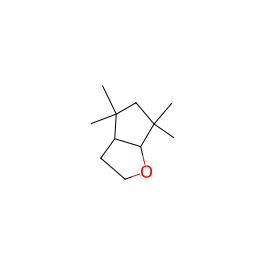 CC1(C)CC(C)(C)C2OCCC21